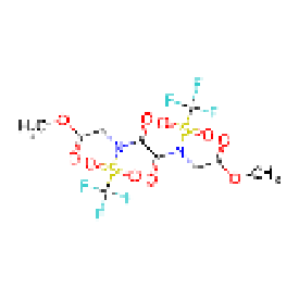 COC(=O)CN(C(=O)C(=O)N(CC(=O)OC)S(=O)(=O)C(F)(F)F)S(=O)(=O)C(F)(F)F